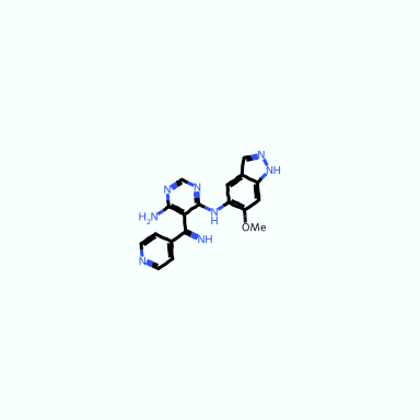 COc1cc2[nH]ncc2cc1Nc1ncnc(N)c1C(=N)c1ccncc1